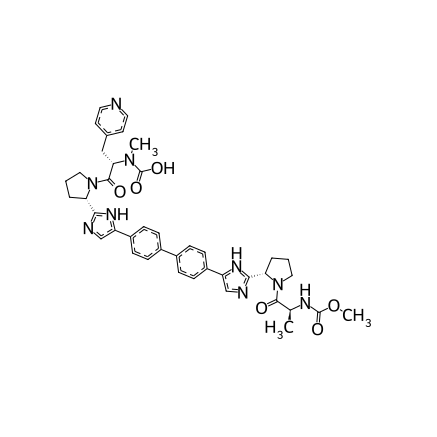 COC(=O)N[C@@H](C)C(=O)N1CCC[C@H]1c1ncc(-c2ccc(-c3ccc(-c4cnc([C@@H]5CCCN5C(=O)[C@H](Cc5ccncc5)N(C)C(=O)O)[nH]4)cc3)cc2)[nH]1